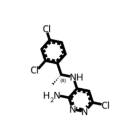 C[C@@H](Nc1cc(Cl)nnc1N)c1ccc(Cl)cc1Cl